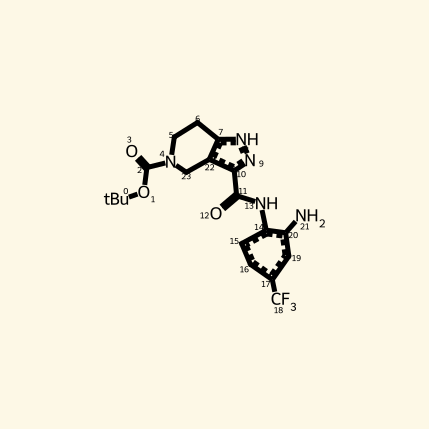 CC(C)(C)OC(=O)N1CCc2[nH]nc(C(=O)Nc3ccc(C(F)(F)F)cc3N)c2C1